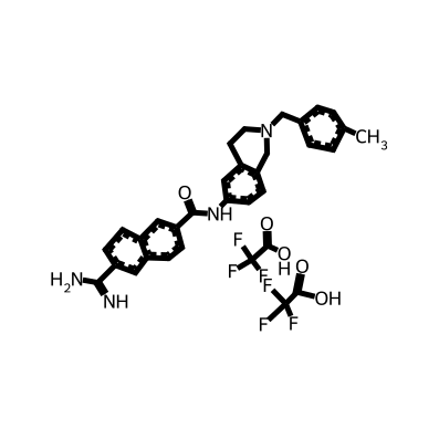 Cc1ccc(CN2CCc3cc(NC(=O)c4ccc5cc(C(=N)N)ccc5c4)ccc3C2)cc1.O=C(O)C(F)(F)F.O=C(O)C(F)(F)F